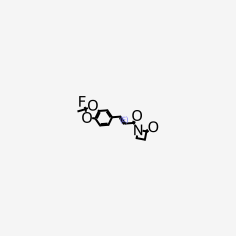 CC1(F)Oc2ccc(/C=C/C(=O)N3CCC3=O)cc2O1